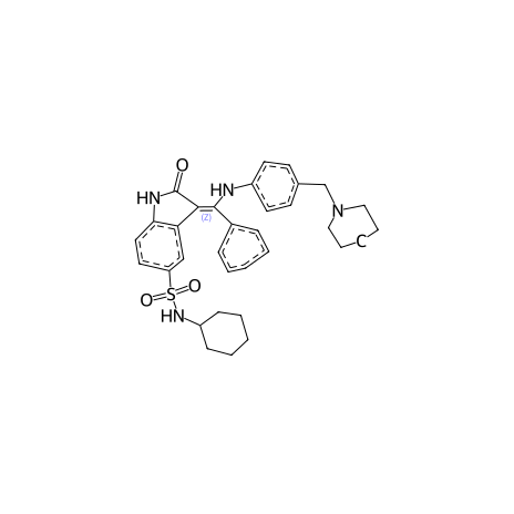 O=C1Nc2ccc(S(=O)(=O)NC3CCCCC3)cc2/C1=C(/Nc1ccc(CN2CCCCC2)cc1)c1ccccc1